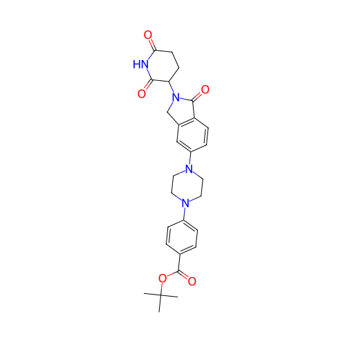 CC(C)(C)OC(=O)c1ccc(N2CCN(c3ccc4c(c3)CN(C3CCC(=O)NC3=O)C4=O)CC2)cc1